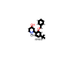 CCCCCCC(C)(C)c1ccc(C2CC(O)CCN2C=O)c(OCc2ccccc2)c1